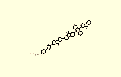 COc1ccc(-c2ccc(-c3ccc4c(c3)C(C)(C)c3cc(-c5ccc6c(c5)C(C)(C)c5cc(-c7c8ccccc8c(-c8ccc9c(c8)C(C)(C)c8ccccc8-9)c8ccccc78)ccc5-6)ccc3-4)cc2)cc1